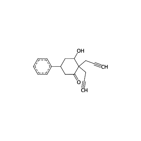 C#CCC1(CC#C)C(=O)CC(c2ccccc2)CC1O